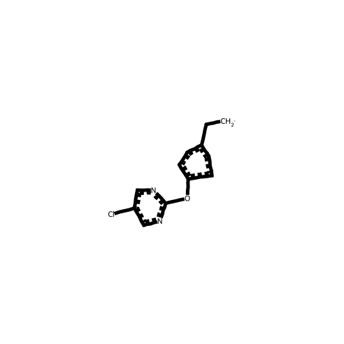 [CH2]Cc1ccc(Oc2ncc(Cl)cn2)cc1